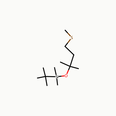 CSCCC(C)(C)O[Si](C)(C)C(C)(C)C